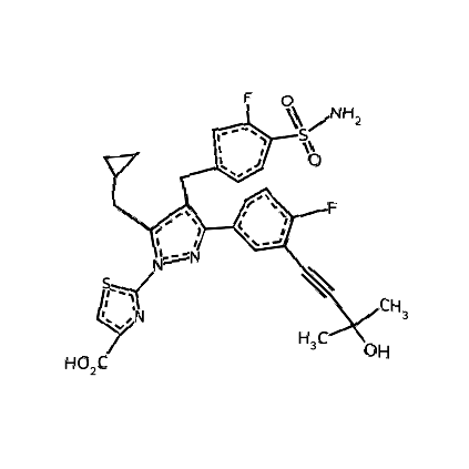 CC(C)(O)C#Cc1cc(-c2nn(-c3nc(C(=O)O)cs3)c(CC3CC3)c2Cc2ccc(S(N)(=O)=O)c(F)c2)ccc1F